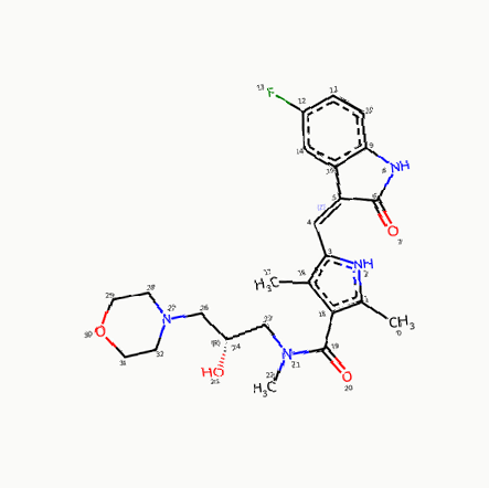 Cc1[nH]c(/C=C2\C(=O)Nc3ccc(F)cc32)c(C)c1C(=O)N(C)C[C@H](O)CN1CCOCC1